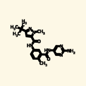 Cc1ccc(NC(=O)c2cc(C(C)(C)C)nn2C)cc1C(=O)Nc1cnc(N)nc1